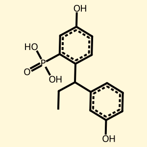 CCC(c1cccc(O)c1)c1ccc(O)cc1P(=O)(O)O